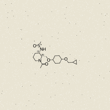 CC(=O)N1CCC[C@H](N[S+](C)[O-])[C@@H]1COC1CCC(OCC2CC2)CC1